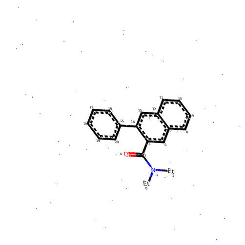 CCN(CC)C(=O)c1cc2ccccc2cc1-c1ccccc1